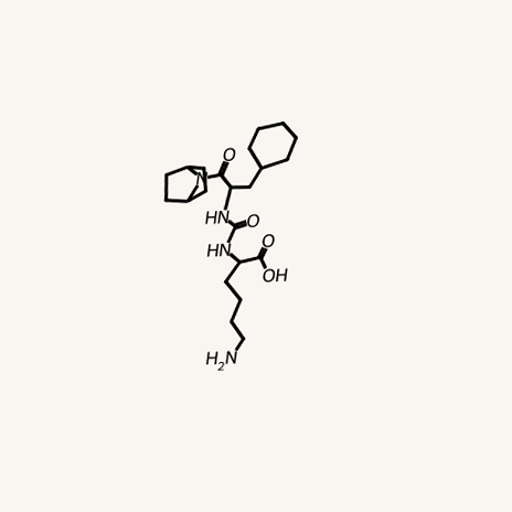 NCCCCC(NC(=O)NC(CC1CCCCC1)C(=O)N1C2CCC1CC2)C(=O)O